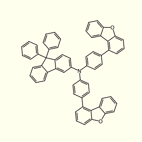 c1ccc(C2(c3ccccc3)c3ccccc3-c3cc(N(c4ccc(-c5cccc6oc7ccccc7c56)cc4)c4ccc(-c5cccc6oc7ccccc7c56)cc4)ccc32)cc1